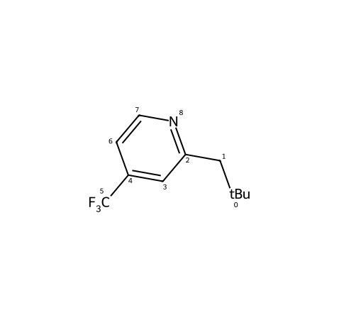 CC(C)(C)Cc1cc(C(F)(F)F)ccn1